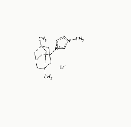 Cn1cc[n+](C23CC4CC(C)(CC(C)(C4)C2)C3)c1.[Br-]